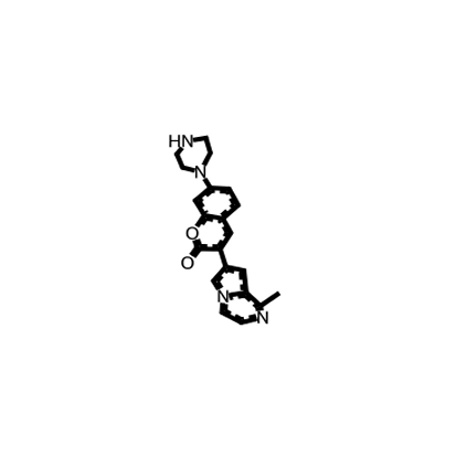 Cc1nccn2cc(-c3cc4ccc(N5CCNCC5)cc4oc3=O)cc12